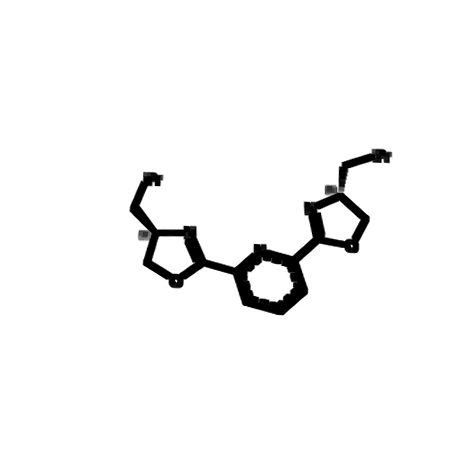 CC(C)C[C@@H]1COC(c2cccc(C3=N[C@H](CC(C)C)CO3)n2)=N1